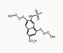 CS(=O)(=O)Nc1cc2c(SOOO)cc(S(=O)(=O)O)cc2cc1SOOO